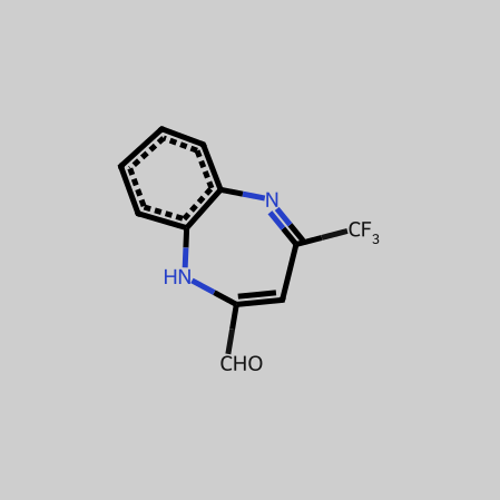 O=CC1=CC(C(F)(F)F)=Nc2ccccc2N1